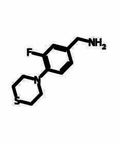 NCc1ccc(N2CCSCC2)c(F)c1